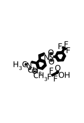 COc1ccc2c(ccn2S(=O)(=O)c2cccc(C(F)(F)F)c2)c1CN(C)C.O=C(O)C(F)(F)F